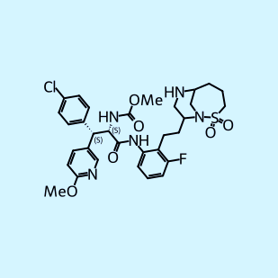 COC(=O)N[C@H](C(=O)Nc1cccc(F)c1CCC1CNC2CCCS(=O)(=O)N1C2)[C@@H](c1ccc(Cl)cc1)c1ccc(OC)nc1